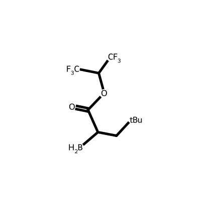 BC(CC(C)(C)C)C(=O)OC(C(F)(F)F)C(F)(F)F